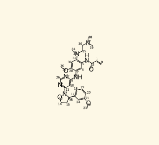 C=CC(=O)Nc1cc(Nc2cc(N3OCC[C@@H]3c3cccc(OC)c3)ncn2)c(OC)cc1N(C)CCN(C)C